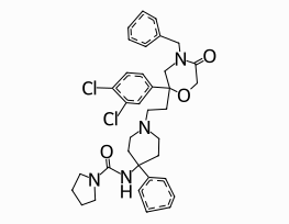 O=C1COC(CCN2CCC(NC(=O)N3CCCC3)(c3ccccc3)CC2)(c2ccc(Cl)c(Cl)c2)CN1Cc1ccccc1